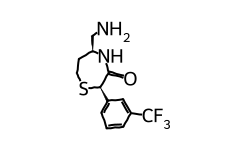 NC[C@@H]1CCS[C@H](c2cccc(C(F)(F)F)c2)C(=O)N1